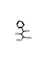 COC(OC)C(O)C(O)c1ccccc1